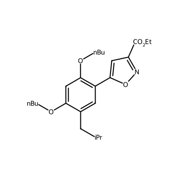 CCCCOc1cc(OCCCC)c(-c2cc(C(=O)OCC)no2)cc1CC(C)C